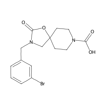 O=C(O)N1CCC2(CC1)CN(Cc1cccc(Br)c1)C(=O)O2